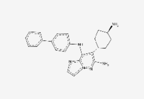 Nc1nn2ccnc2c(Nc2ccc(-c3ccccc3)cc2)c1[C@H]1CC[C@H](N)CC1